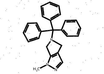 Cn1ncc2c1CN(C(c1ccccc1)(c1ccccc1)c1ccccc1)C2